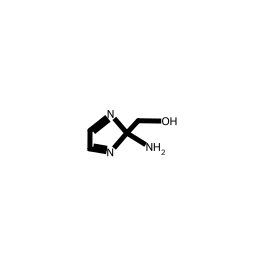 NC1(CO)N=CC=N1